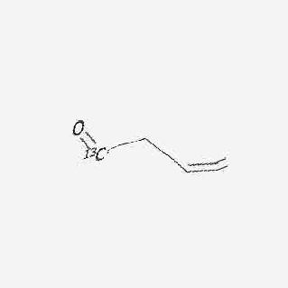 C=CC[13C]=O